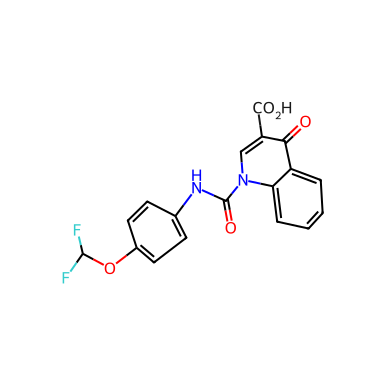 O=C(O)c1cn(C(=O)Nc2ccc(OC(F)F)cc2)c2ccccc2c1=O